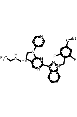 CCOc1cc(F)c(Cn2nc(-c3ncc4c(n3)N(c3ccncc3)C[C@H]4CNCC(F)(F)F)c3ccccc32)c(F)c1